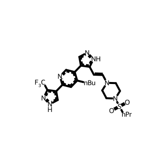 CCCCc1cc(-c2c[nH]nc2C(F)(F)F)ncc1-c1cn[nH]c1/C=C/N1CCN(S(=O)(=O)CCC)CC1